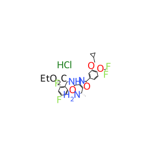 CCOC(=O)C(NC(=O)c1nc(-c2ccc(OC(F)F)c(OCC3CC3)c2)oc1[C@H](C)N)c1ccc(F)cc1F.Cl